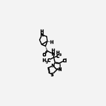 CC(C)(NC(=O)[C@@H]1C2CNC[C@H]21)c1c(Cl)nc2sccn12